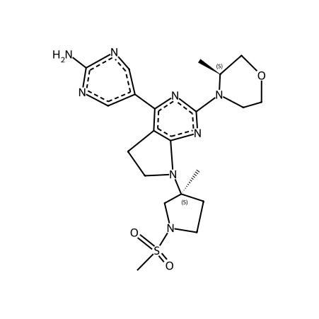 C[C@H]1COCCN1c1nc(-c2cnc(N)nc2)c2c(n1)N([C@@]1(C)CCN(S(C)(=O)=O)C1)CC2